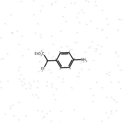 CCOC(=O)C(CC)c1ccc(N)cc1